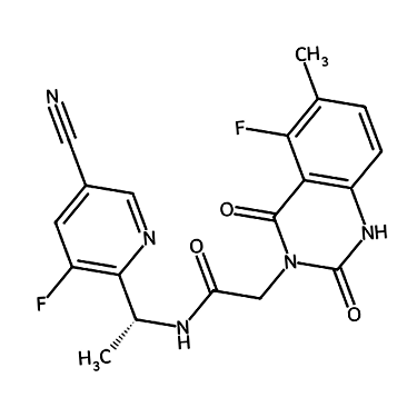 Cc1ccc2[nH]c(=O)n(CC(=O)N[C@H](C)c3ncc(C#N)cc3F)c(=O)c2c1F